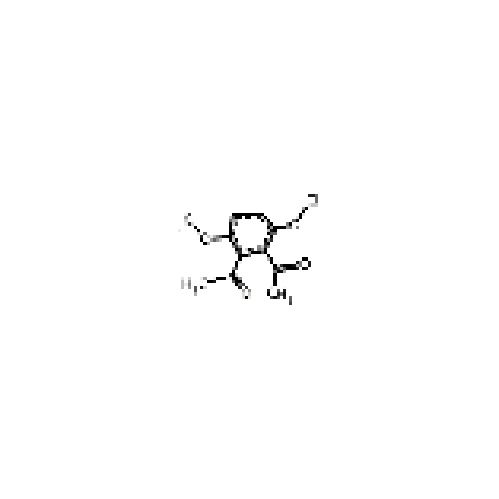 COc1ccc(OC)c(C(C)=O)c1C(C)=O